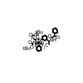 CCOC(=O)CC(NC(=O)C(CC)c1ccccc1)c1cccc(N(NC(=NC(=O)OC(C)(C)C)NC(=O)OC(C)(C)C)S(=O)(=O)c2ccccc2)c1